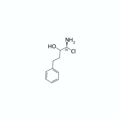 N[C@@H](Cl)C(O)CCc1ccccc1